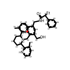 CCC(C(=O)NCc1ccc(CN2C(c3ncccc3C)CCCC2c2ncccc2C)c(CO)c1)c1ccccc1